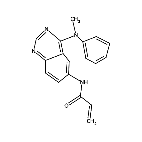 C=CC(=O)Nc1ccc2ncnc(N(C)c3ccccc3)c2c1